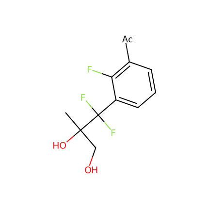 CC(=O)c1cccc(C(F)(F)C(C)(O)CO)c1F